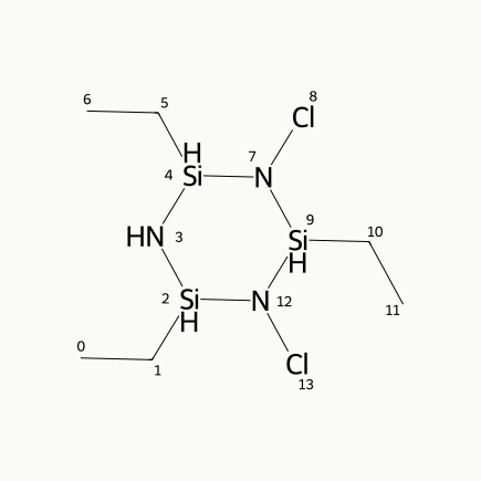 CC[SiH]1N[SiH](CC)N(Cl)[SiH](CC)N1Cl